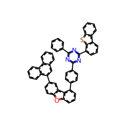 c1ccc(-c2nc(-c3ccc(-c4cccc5oc6ccc(-c7cc8ccccc8c8ccccc78)cc6c45)cc3)nc(-c3cccc4c3sc3ccccc34)n2)cc1